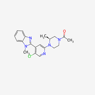 CC(=O)N1CCN(c2cc(-c3nc4ccccc4n3C)c(Cl)cn2)[C@@H](C)C1